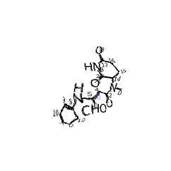 CN(C(=O)/C=C(\C=O)Nc1ccccc1)C1CCC(=O)NC1=O